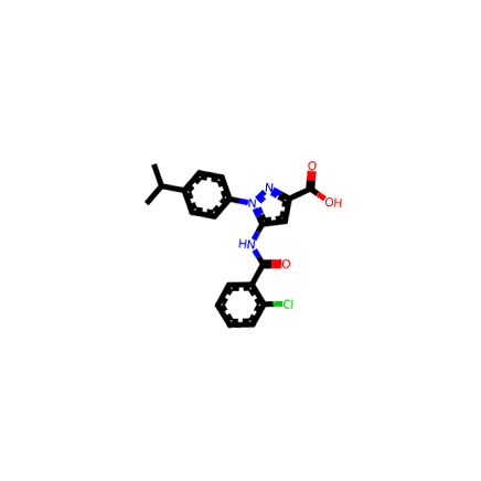 CC(C)c1ccc(-n2nc(C(=O)O)cc2NC(=O)c2ccccc2Cl)cc1